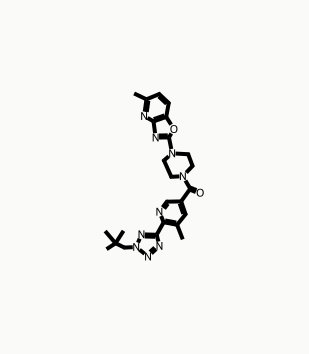 Cc1ccc2oc(N3CCN(C(=O)c4cnc(-c5nnn(CC(C)(C)C)n5)c(C)c4)CC3)nc2n1